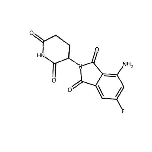 Nc1cc(F)cc2c1C(=O)N(C1CCC(=O)NC1=O)C2=O